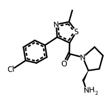 Cc1nc(-c2ccc(Cl)cc2)c(C(=O)N2CCC[C@H]2CN)s1